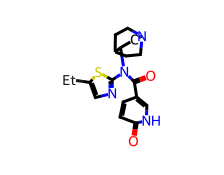 CCc1cnc(N(C(=O)c2ccc(=O)[nH]c2)C2CN3CCC2CC3)s1